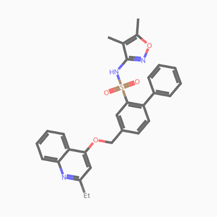 CCc1cc(OCc2ccc(-c3ccccc3)c(S(=O)(=O)Nc3noc(C)c3C)c2)c2ccccc2n1